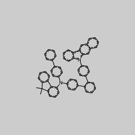 CC1(C)c2ccccc2-c2c(N(c3ccc(-c4ccccc4)cc3)c3ccc(-c4ccccc4-c4ccc(-n5c6ccccc6c6cc7ccccc7cc65)cc4)cc3)cccc21